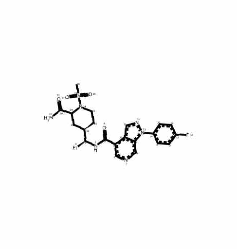 CC[C@H](NC(=O)c1cncc2c1cnn2-c1ccc(F)cc1)[C@@H]1CCN(S(C)(=O)=O)C(C(N)=O)C1